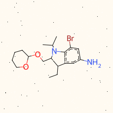 CCC1c2cc(N)cc(Br)c2N(C(C)C)C1COC1CCCCO1